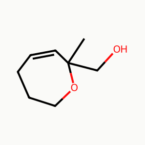 CC1(CO)C=CCCCO1